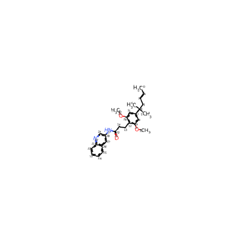 CCCCC(C)(C)c1cc(OC)c(CCC(=O)Nc2cnc3ccccc3c2)c(OC)c1